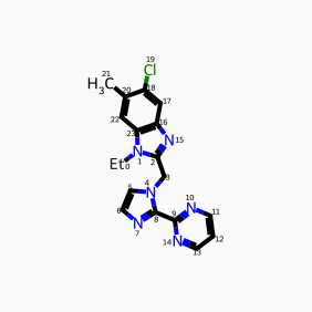 CCn1c(Cn2ccnc2-c2ncccn2)nc2cc(Cl)c(C)cc21